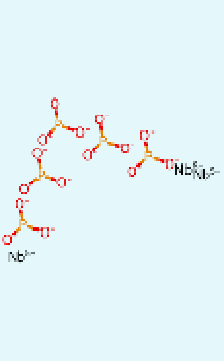 [Nb+5].[Nb+5].[Nb+5].[O-]P([O-])[O-].[O-]P([O-])[O-].[O-]P([O-])[O-].[O-]P([O-])[O-].[O-]P([O-])[O-]